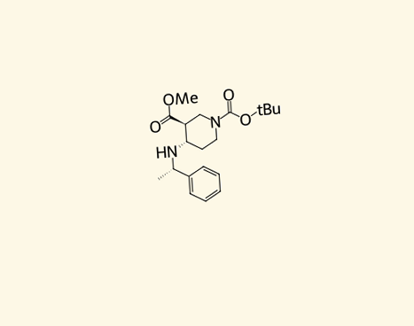 COC(=O)[C@H]1CN(C(=O)OC(C)(C)C)CC[C@@H]1N[C@@H](C)c1ccccc1